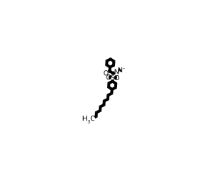 CCCCCCCCCCC1CCC(S(=O)(=O)C(=[N+]=[N-])C(=O)C2CCCCC2)CC1